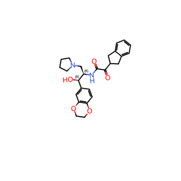 O=C(N[C@H](CN1CCCC1)[C@H](O)c1ccc2c(c1)OCCO2)C(=O)C1Cc2ccccc2C1